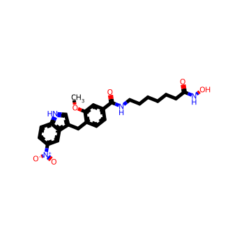 COc1cc(C(=O)NCCCCCCC(=O)NO)ccc1Cc1c[nH]c2ccc([N+](=O)[O-])cc12